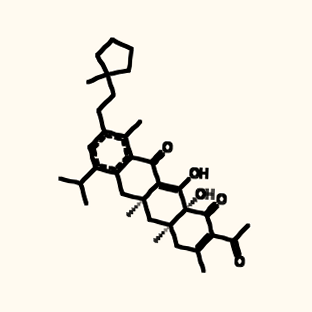 CC(=O)C1=C(C)C[C@@]2(C)C[C@@]3(C)Cc4c(C(C)C)cc(CCC5(C)CCCC5)c(C)c4C(=O)C3=C(O)[C@@]2(O)C1=O